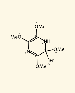 COC1=NC(OC)=C(OC)NC1(OC)C(C)C